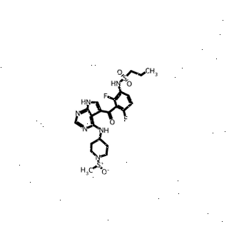 CCCS(=O)(=O)Nc1ccc(F)c(C(=O)c2c[nH]c3ncnc(NC4CCN([S+](C)[O-])CC4)c23)c1F